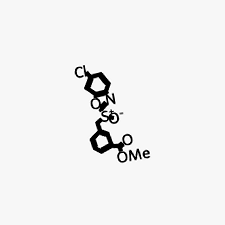 COC(=O)c1cccc(C[S+]([O-])c2nc3ccc(Cl)cc3o2)c1